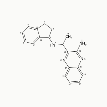 CC(NC1CCc2ccccc21)c1nc2ccccc2nc1N